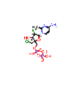 C=C1N=C(N)C=CN1[C@@H]1O[C@](CCl)(COP(=O)(O)OP(=O)(O)O)[C@@H](O)[C@H]1F